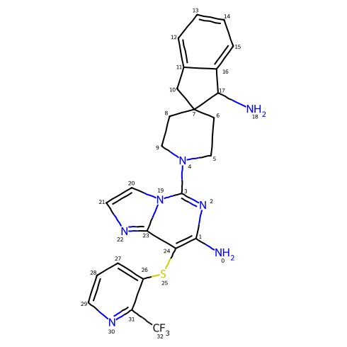 Nc1nc(N2CCC3(CC2)Cc2ccccc2C3N)n2ccnc2c1Sc1cccnc1C(F)(F)F